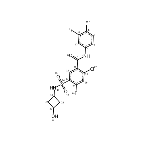 O=C(Nc1ccc(F)c(F)c1)c1cc(S(=O)(=O)NC2CC(O)C2)c(F)cc1Cl